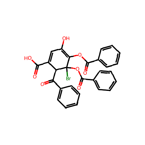 O=C(O)C1=CC(O)=C(OC(=O)c2ccccc2)C(Br)(OC(=O)c2ccccc2)C1C(=O)c1ccccc1